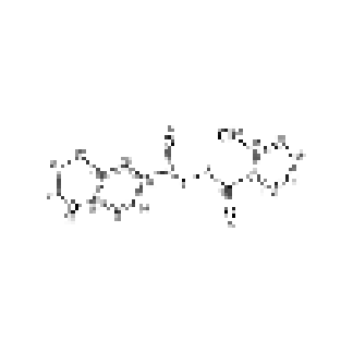 O=C(CCC(=O)c1ncccc1Cl)c1ccc2c(c1)CCCO2